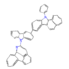 c1ccc(-n2c3ccc(-c4ccc5c(c4)c4ccccc4n5-c4cc5cccc6c5c(n4)-c4ccccc4-6)cc3c3ccc4ccccc4c32)cc1